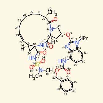 CC(C)n1c(O[C@@H]2C[C@H]3C(=O)N[C@]4(C(=O)NS(=O)(=O)N(C)C)C[C@H]4/C=C\CCCCC[C@H](C)C(=O)N3C2)nc2c(NC(=O)OCc3ccccc3)cccc21